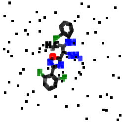 C/C(Nc1ccccc1F)=C(/N)c1nc(-c2c(F)cccc2F)no1